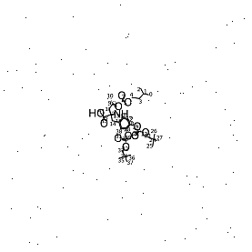 CC(C)CCOC(=O)O[C@@H](C)CC(N)(Cc1ccc(OC(=O)OCC(C)(C)C)c(OC(=O)OCC(C)(C)C)c1)C(=O)O